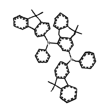 CC1(C)c2ccccc2-c2cc(N(c3ccccc3)c3cc(N(c4ccccc4)c4ccc5c(c4)-c4ccccc4C5(C)C)c4c(c3)C(C)(C)c3ccccc3-4)ccc21